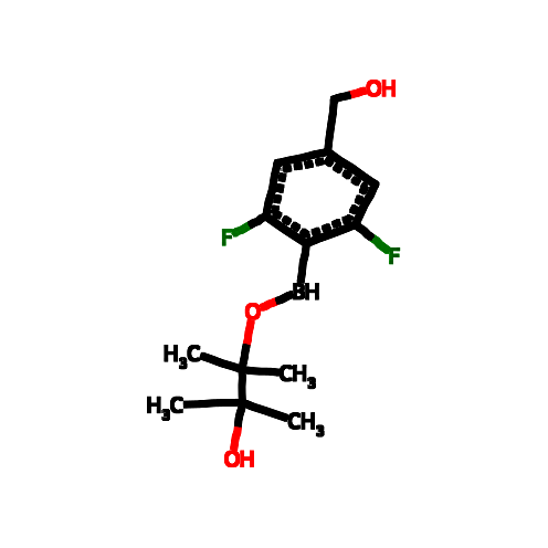 CC(C)(O)C(C)(C)OBc1c(F)cc(CO)cc1F